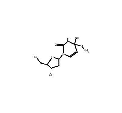 NOC1(N)C=CN([C@H]2C[C@H](O)[C@@H](CO)O2)C(=O)N1